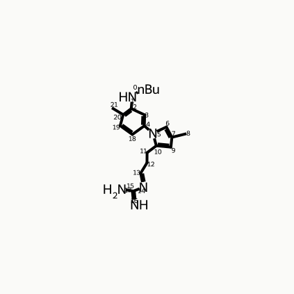 CCCCNc1cc(-n2cc(C)cc2CCC=NC(=N)N)ccc1C